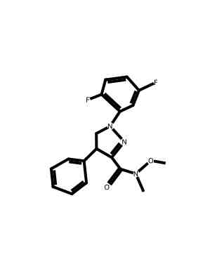 CON(C)C(=O)C1=NN(c2cc(F)ccc2F)CC1c1ccccc1